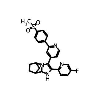 CS(=O)(=O)c1ccc(-c2cc(C3=C(c4ccc(F)cn4)NC4C5CCC(C5)N34)ccn2)cc1